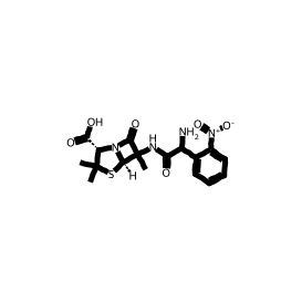 CC1(C)S[C@H]2N(C(=O)C2(C)NC(=O)C(N)c2ccccc2[N+](=O)[O-])[C@H]1C(=O)O